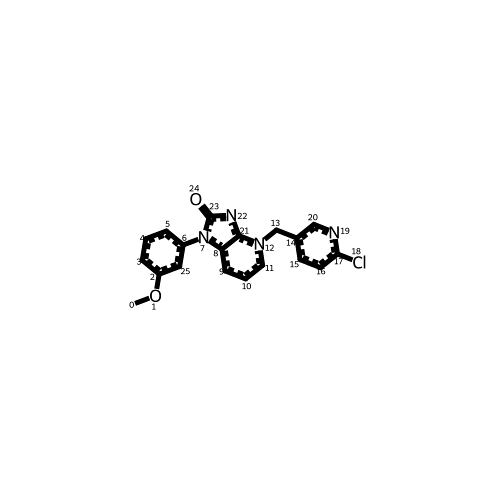 COc1cccc(-n2c3cccn(Cc4ccc(Cl)nc4)c-3nc2=O)c1